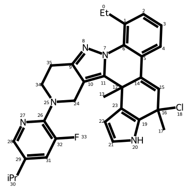 CCc1cccc2c1-n1nc3c(c1C1(C)C2=CC(C)(Cl)c2[nH]ccc21)CN(c1ncc(C(C)C)cc1F)CC3